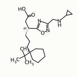 CC(C)(C)C1(CCC[C@H](CC(=O)O)c2nc(CNC3CC3)no2)CCCCC1